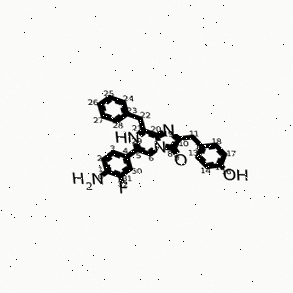 Nc1ccc(-c2cn3c(=O)c(Cc4ccc(O)cc4)nc-3c(Cc3ccccc3)[nH]2)cc1F